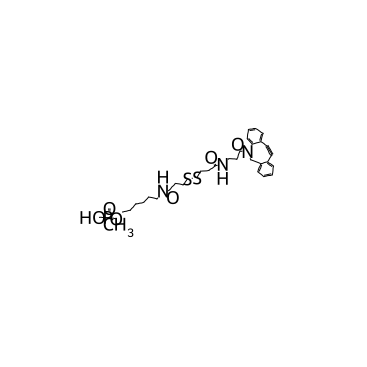 CP(=O)(O)OCCCCCCNC(=O)CCSSCCC(=O)NCCC(=O)N1Cc2ccccc2C#Cc2ccccc21